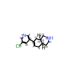 Clc1cncc(C2=CC[C@H]3CCNC[C@H]3C2)c1